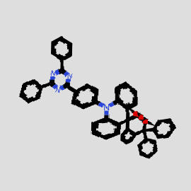 c1ccc(-c2nc(-c3ccccc3)nc(-c3ccc(N4c5ccccc5C5(c6ccccc64)c4ccccc4C(c4ccccc4)(c4ccccc4)c4ccccc45)cc3)n2)cc1